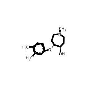 Cc1ccc(O[C@@H]2CCN(C)CC[C@H]2O)cc1C